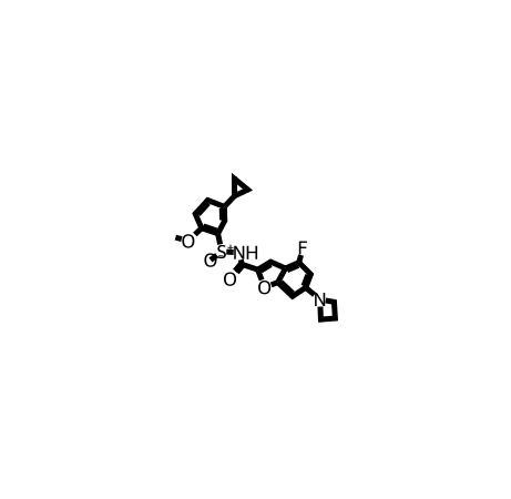 COc1ccc(C2CC2)cc1[S+]([O-])NC(=O)c1cc2c(F)cc(N3CCC3)cc2o1